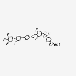 CCCCCc1ccc(C(F)(F)Oc2cc(F)c(COc3ccc(-c4ccc(-c5cc(F)c(F)c(F)c5)c(F)c4)cc3)c(F)c2)cc1